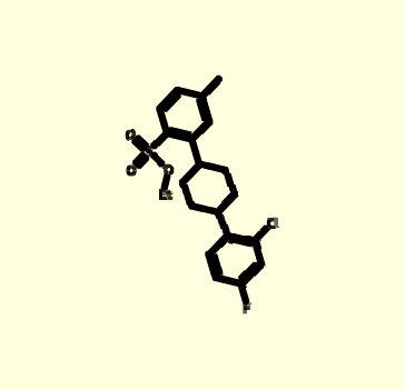 CCOS(=O)(=O)c1ccc(C)cc1C1CCC(c2ccc(F)cc2Cl)CC1